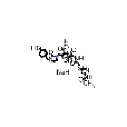 CC(=O)Nc1nnc(SCC(=O)N[C@@H]2C(=O)N3C(C(=O)O)=C(/C=C4\CCN(Cc5ccc(O)cc5)C4=O)CS[C@H]23)s1.[NaH]